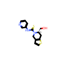 OC[C@@H]1Cc2sccc2CN1C(=S)Nc1cccnc1